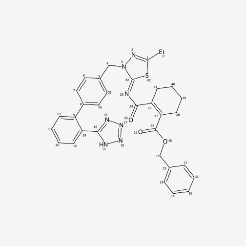 CCc1nn(Cc2ccc(-c3ccccc3-c3nnn[nH]3)cc2)c(=NC(=O)C2=C(C(=O)OCc3ccccc3)CCCC2)s1